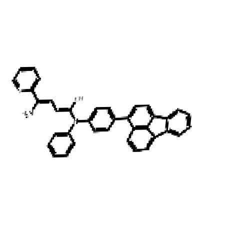 C/C(=C\C=C(/N)c1ccccn1)N(c1ccccc1)c1ccc(-c2ccc3c4c(cccc24)-c2ccccc2-3)cc1